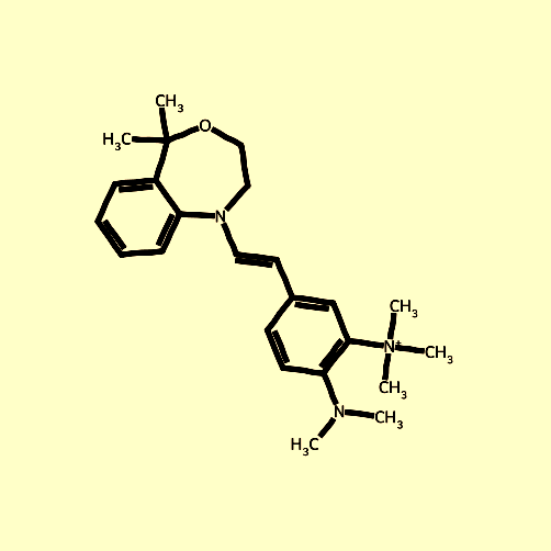 CN(C)c1ccc(C=CN2CCOC(C)(C)c3ccccc32)cc1[N+](C)(C)C